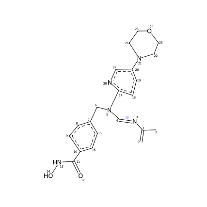 C=C(C)/N=C/N(Cc1ccc(C(=O)NO)cc1)c1ccc(N2CCOCC2)cn1